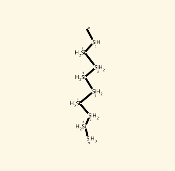 C[SiH][SiH2][SiH2][SiH2][SiH2][SiH2][SiH2][SiH2][SiH3]